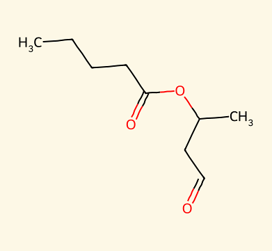 CCCCC(=O)OC(C)CC=O